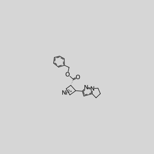 O=C(OCc1ccccc1)[C@H]1CCC1c1cc2n(n1)CCC2.[Ni+2]